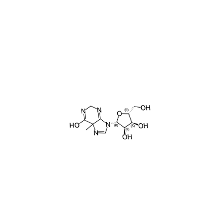 CC12N=CN([C@@H]3O[C@H](CO)[C@@H](O)[C@H]3O)C1=NCN=C2O